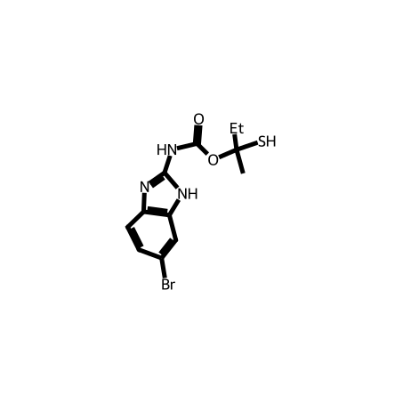 CCC(C)(S)OC(=O)Nc1nc2ccc(Br)cc2[nH]1